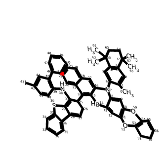 Cc1cc2c(cc1N1c3cc4c(cc3Bc3c1cc1ccccc1c3C1CC=c3c(sc5ccccc35)=C1Nc1ccc(I)cc1-c1ccccc1)OC1=C(C=CCC1)O4)C(C)(C)CCC2(C)C